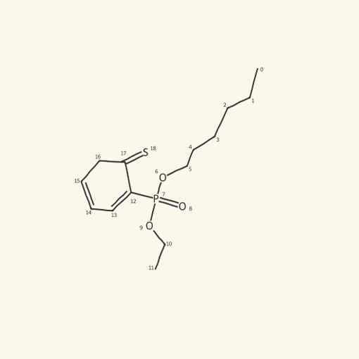 CCCCCCOP(=O)(OCC)C1=CC=CCC1=S